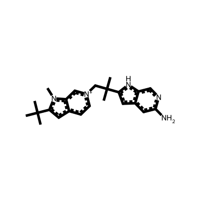 Cn1c(C(C)(C)C)cc2cc[n+](CC(C)(C)c3cc4cc(N)ncc4[nH]3)cc21